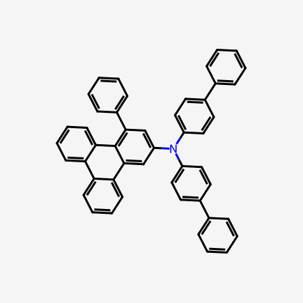 c1ccc(-c2ccc(N(c3ccc(-c4ccccc4)cc3)c3cc(-c4ccccc4)c4c5ccccc5c5ccccc5c4c3)cc2)cc1